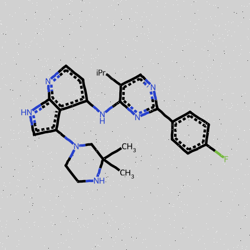 CC(C)c1cnc(-c2ccc(F)cc2)nc1Nc1ccnc2[nH]cc(N3CCNC(C)(C)C3)c12